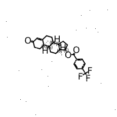 C[C@]12CC[C@H]3[C@@H](CCC4=CC(=O)CC[C@@]43C)[C@@H]1CC[C@@H]2OC(=O)c1ccc(C(F)(F)F)cc1